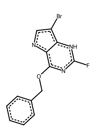 Fc1nc(OCc2ccccc2)c2ncc(Br)c-2[nH]1